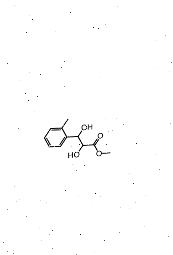 COC(=O)C(O)C(O)c1ccccc1C